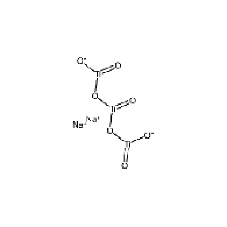 [Na+].[Na+].[O]=[Ti]([O-])[O][Ti](=[O])[O][Ti](=[O])[O-]